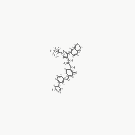 CC(C)(C)n1cc(NC(=O)Nc2ccc(Oc3ccnc(-c4cn[nH]c4)c3)cc2F)c(-c2ccc3ncncc3c2)n1